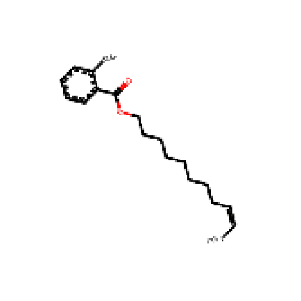 CCCCCCCC/C=C\CCCCCCCCOC(=O)c1ccccc1OC(C)=O